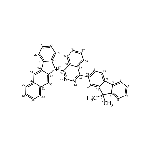 CC1(C)c2ccccc2-c2ccc(-c3nnc(-n4c5ccccc5c5cc6ccccc6cc54)c4ccccc34)cc21